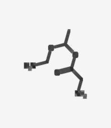 CC(OCN)OC(=O)CN